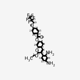 CCOC(=O)C(=Cc1ccc(OC(=O)c2ccc(OCC(F)(F)C(F)(F)F)cc2)cc1)c1ccc(N)cc1N